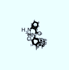 Cl.NC1C2CCC(C2)C1C(=O)Nc1ccc(F)c(S(F)(F)(F)(F)F)c1